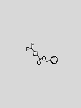 O=C(OCc1ccccc1)C1CC(C(F)F)C1